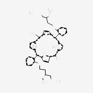 CCOC(CCOc1ccccc1-c1c2nc(c(Br)c3ccc([nH]3)c(-c3ccccc3OCCC(CC(=O)O)OCC)c3nc(c(Br)c4ccc1[nH]4)C=C3)C=C2)CC(=O)O